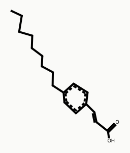 CCCCCCCCCc1ccc(C=CC(=O)O)cc1